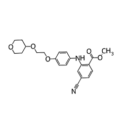 COC(=O)c1ccc(C#N)cc1Nc1ccc(OCCOC2CCOCC2)cc1